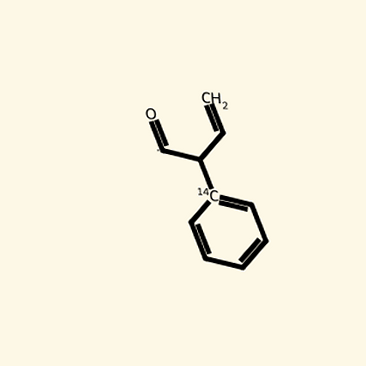 C=CC([C]=O)[14c]1ccccc1